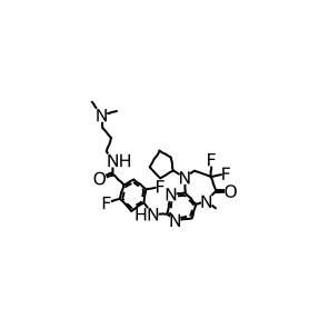 CN(C)CCCNC(=O)c1cc(F)c(Nc2ncc3c(n2)N(C2CCCC2)CC(F)(F)C(=O)N3C)cc1F